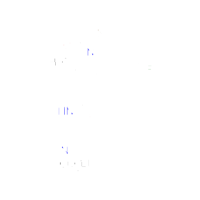 CCOC(=O)N1CCC(NC(=O)c2ccc(N3C(=O)CSC3c3ccc(F)cc3)c(C)c2)CC1